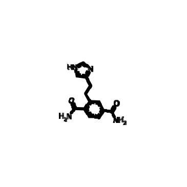 NC(=O)c1ccc(C(N)=O)c(CCc2c[nH]cn2)c1